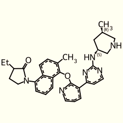 CCC1CCN(c2cccc3c(Oc4ncccc4-c4ccnc(N[C@@H]5CNC[C@H](C)C5)n4)c(C)ccc23)C1=O